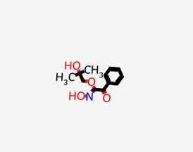 CC(C)(O)COC(=NO)C(=O)c1ccccc1